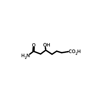 NC(=O)CC(O)CCCC(=O)O